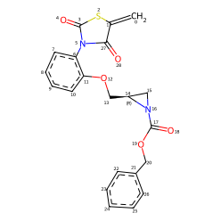 C=C1SC(=O)N(c2ccccc2OC[C@H]2CN2C(=O)OCc2ccccc2)C1=O